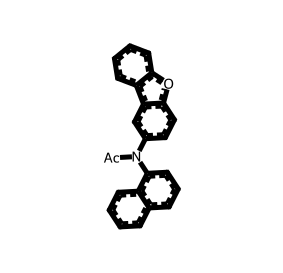 CC(=O)N(c1ccc2oc3ccccc3c2c1)c1cccc2ccccc12